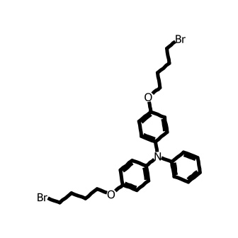 BrCCCCOc1ccc(N(c2ccccc2)c2ccc(OCCCCBr)cc2)cc1